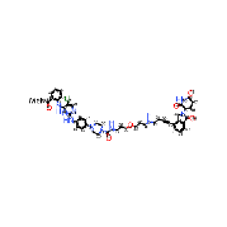 CNC(=O)c1ccccc1Nc1nc(Nc2ccc(N3CCN(C(=O)NCCCOCCCNCCC#Cc4cccc5c4CN(C4CCC(=O)NC4=O)C5=O)CC3)cc2)ncc1Cl